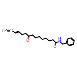 CCCCC/C=C/CCC(=O)CCCCCCCC(=O)NCc1ccccc1